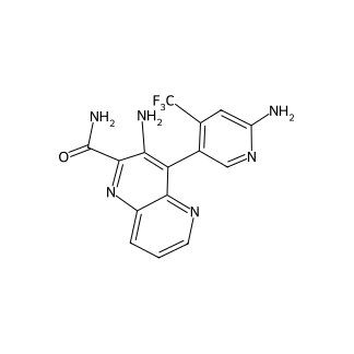 NC(=O)c1nc2cccnc2c(-c2cnc(N)cc2C(F)(F)F)c1N